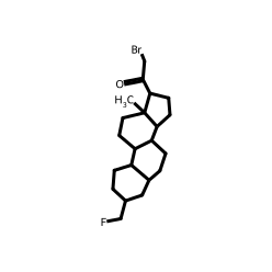 CC12CCC3C4CCC(CF)CC4CCC3C1CCC2C(=O)CBr